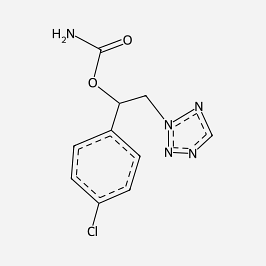 NC(=O)OC(Cn1ncnn1)c1ccc(Cl)cc1